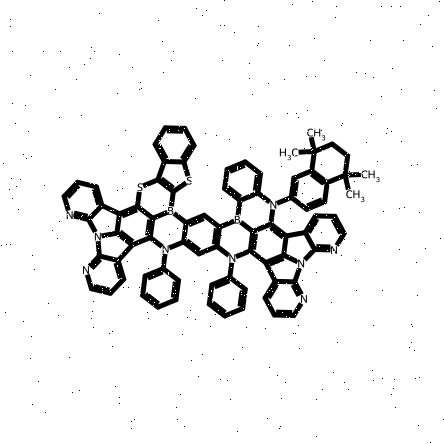 CC1(C)CCC(C)(C)c2cc(N3c4ccccc4B4c5cc6c(cc5N(c5ccccc5)c5c4c3c3c4cccnc4n4c7ncccc7c5c34)N(c3ccccc3)c3c4c(c5c7cccnc7n7c8ncccc8c3c57)Sc3c(sc5ccccc35)B64)ccc21